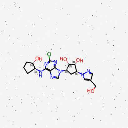 OCc1cnn([C@H]2C[C@@H](n3cnc4c(N[C@H]5CCC[C@@H]5O)nc(Cl)nc43)[C@H](O)[C@@H]2O)c1